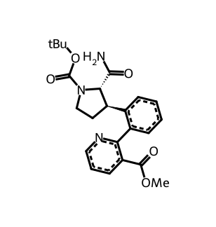 COC(=O)c1cccnc1-c1ccccc1[C@H]1CCN(C(=O)OC(C)(C)C)[C@@H]1C(N)=O